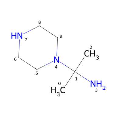 CC(C)(N)N1CCNCC1